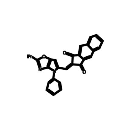 CC(C)c1nc2c(cc(C=C3C(=O)c4cc5ccccc5cc4C3=O)n2-c2ccccc2)o1